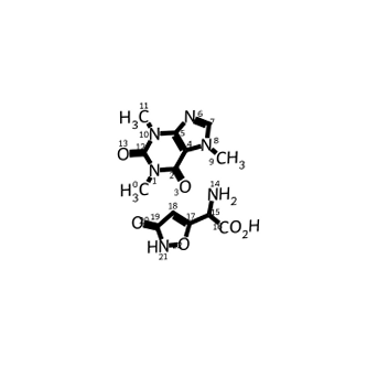 Cn1c(=O)c2c(ncn2C)n(C)c1=O.NC(C(=O)O)c1cc(=O)[nH]o1